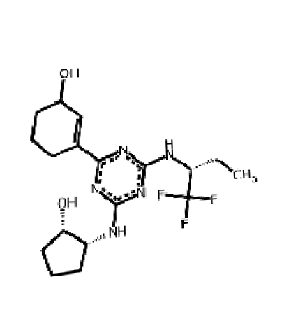 CC[C@@H](Nc1nc(N[C@@H]2CCC[C@@H]2O)nc(C2=CC(O)CCC2)n1)C(F)(F)F